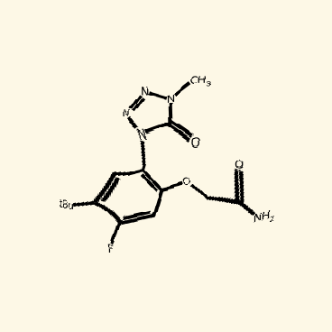 Cn1nnn(-c2cc(C(C)(C)C)c(F)cc2OCC(N)=O)c1=O